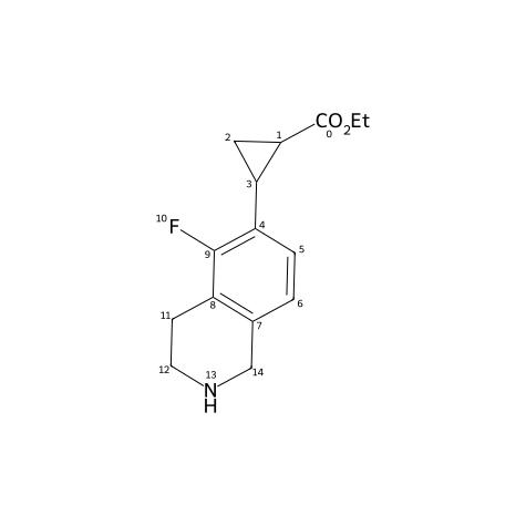 CCOC(=O)C1CC1c1ccc2c(c1F)CCNC2